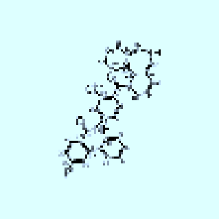 O=C(Nc1ccc(C(=O)C2CC=CC3=CNC=C4CSCCN4C32)c(Cl)c1)c1ccc(F)cc1-c1ccccc1